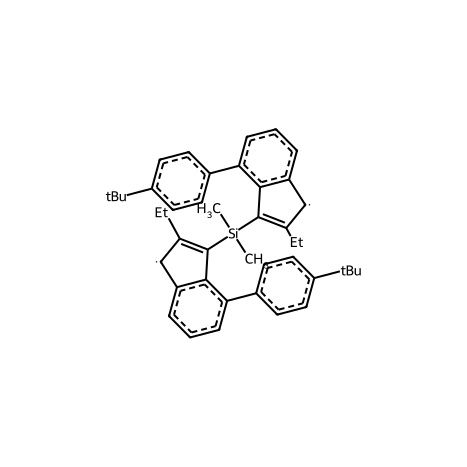 CCC1=C([Si](C)(C)C2=C(CC)[CH]c3cccc(-c4ccc(C(C)(C)C)cc4)c32)c2c(cccc2-c2ccc(C(C)(C)C)cc2)[CH]1